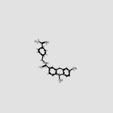 N#Cc1ccc2c(c1)Cc1cc(C(=O)NCc3ccc(C(=N)N)cc3)ccc1C2O